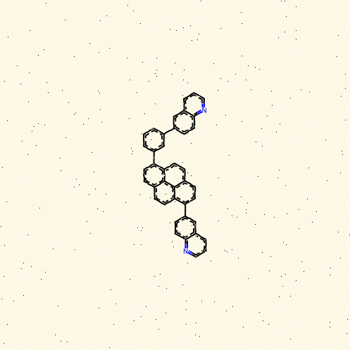 c1cc(-c2ccc3ncccc3c2)cc(-c2ccc3ccc4c(-c5ccc6ncccc6c5)ccc5ccc2c3c54)c1